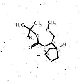 COC[C@H]1[C@H]2CC[C@H](C2)N1C(=O)OC(C)(C)C